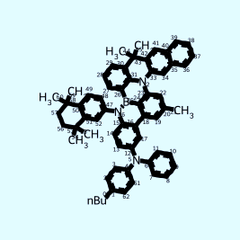 CCCCc1ccc(N(c2ccccc2)c2ccc3c(c2)-c2cc(C)cc4c2B(c2cccc5c2N4c2cc4ccccc4cc2C5(C)C)N3c2ccc3c(c2)C(C)(C)CCC3(C)C)cc1